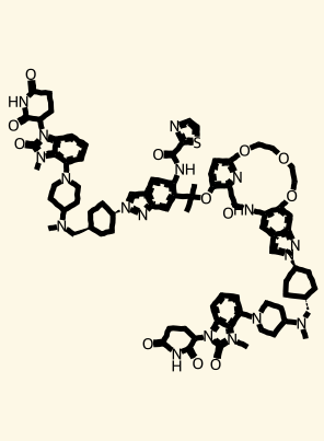 CN(C[C@H]1CC[C@H](n2cc3cc4c(cc3n2)OCCOCCOc2ccc(OC(C)(C)c3cc5nn([C@H]6CC[C@H](CN(C)C7CCN(c8cccc9c8n(C)c(=O)n9C8CCC(=O)NC8=O)CC7)CC6)cc5cc3NC(=O)c3nccs3)c(n2)C(=O)N4)CC1)C1CCN(c2cccc3c2n(C)c(=O)n3C2CCC(=O)NC2=O)CC1